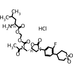 CC(=O)N(C[C@H]1CN(c2ccc(C3CCS(=O)(=O)CC3)c(F)c2)C(=O)O1)C(=O)OCOC(=O)[C@@H](N)CC(C)C.Cl